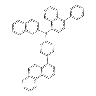 c1ccc(-c2ccc(N(c3ccc(-c4cccc5c4ccc4ccccc45)cc3)c3ccc4ccccc4c3)c3ccccc23)cc1